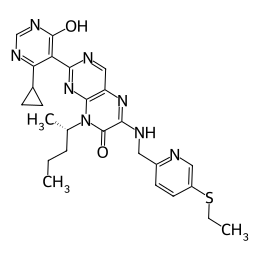 CCC[C@H](C)n1c(=O)c(NCc2ccc(SCC)cn2)nc2cnc(-c3c(O)ncnc3C3CC3)nc21